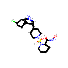 O=C(NO)C1CCCCN1S(=O)(=O)N1CCC(c2c[nH]c3cc(Cl)ccc23)CC1